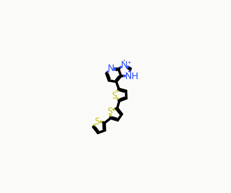 C1=[N+]c2nccc(-c3ccc(-c4ccc(-c5cccs5)s4)s3)c2N1